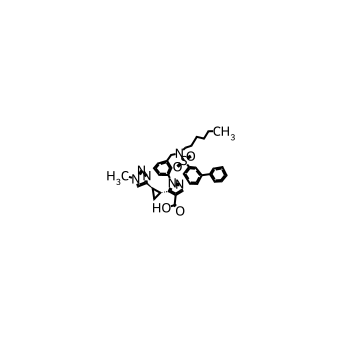 CCCCCCN(Cc1cccc(-n2ncc(C(=O)O)c2[C@@H]2C[C@H]2c2cn(C)nn2)c1)S(=O)(=O)c1cccc(-c2ccccc2)c1